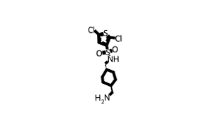 NC[C@H]1CC[C@H](CNS(=O)(=O)c2cc(Cl)sc2Cl)CC1